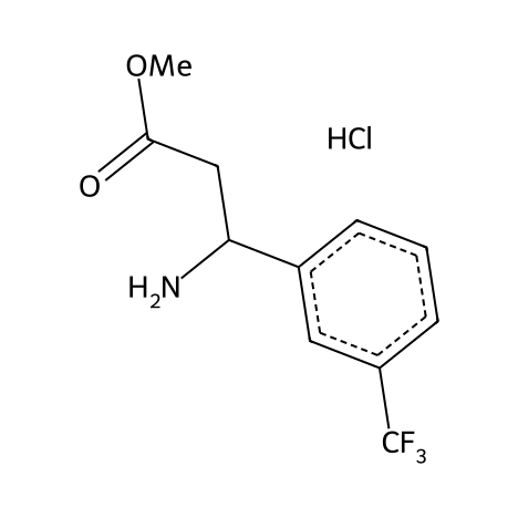 COC(=O)CC(N)c1cccc(C(F)(F)F)c1.Cl